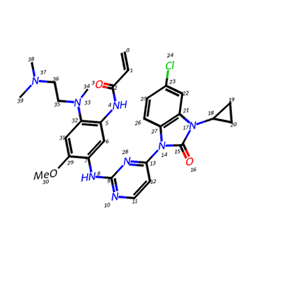 C=CC(=O)Nc1cc(Nc2nccc(-n3c(=O)n(C4CC4)c4cc(Cl)ccc43)n2)c(OC)cc1N(C)CCN(C)C